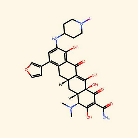 CN(C)[C@@H]1C(O)=C(C(N)=O)C(=O)[C@@]2(O)C(O)=C3C(=O)c4c(O)c(NC5CCN(I)CC5)cc(-c5ccoc5)c4C[C@H]3C[C@@H]12